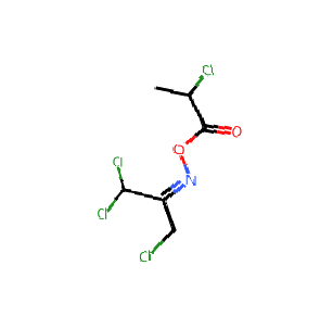 CC(Cl)C(=O)ON=C(CCl)C(Cl)Cl